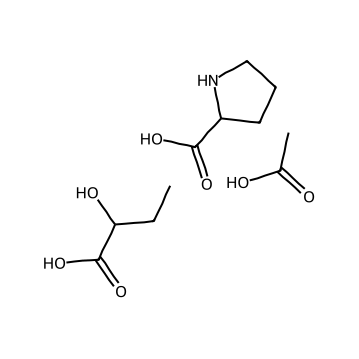 CC(=O)O.CCC(O)C(=O)O.O=C(O)C1CCCN1